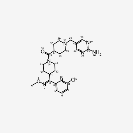 CON=C(c1cccc(Cl)n1)C1CCN(C(=O)C2CCN(Cc3cnc(N)nc3)CC2)CC1